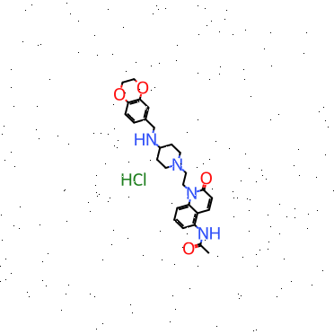 CC(=O)Nc1cccc2c1ccc(=O)n2CCN1CCC(NCc2ccc3c(c2)OCCO3)CC1.Cl